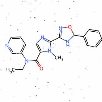 CCN(C(=O)c1cnc(C2=NOC(c3ccccc3)N2)n1C)c1cccnc1